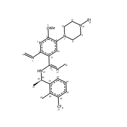 C=Nc1nc(OC)c(N2CCN(CC)CC2)cc1/C(=N\C)N[C@H](C)c1cccc(C(F)(F)F)c1C